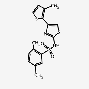 Cc1ccc(C)c(S(=O)(=O)Nc2nc(-c3sccc3C)cs2)c1